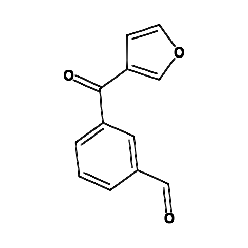 O=Cc1cccc(C(=O)c2ccoc2)c1